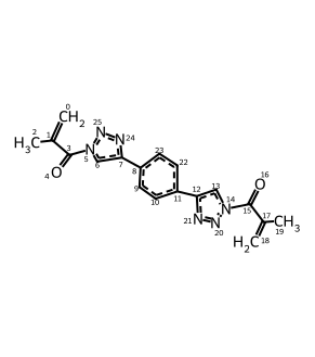 C=C(C)C(=O)n1cc(-c2ccc(-c3cn(C(=O)C(=C)C)nn3)cc2)nn1